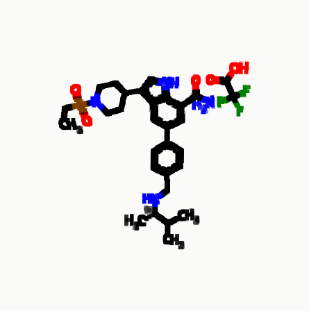 CCS(=O)(=O)N1CCC(c2c[nH]c3c(C(N)=O)cc(-c4ccc(CN[C@@H](C)C(C)C)cc4)cc23)CC1.O=C(O)C(F)(F)F